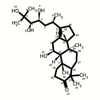 C[C@H](C[C@H](O)[C@@H](O)C(C)(C)O)C1=C2C[C@H](O)[C@H]3[C@@]4(C)CCC(=O)C(C)(C)C4CC[C@]3(C)[C@@]2(C)CC1